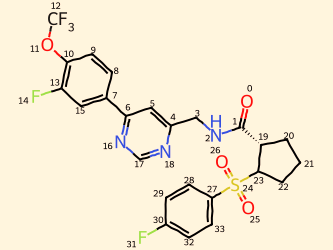 O=C(NCc1cc(-c2ccc(OC(F)(F)F)c(F)c2)ncn1)[C@@H]1CCCC1S(=O)(=O)c1ccc(F)cc1